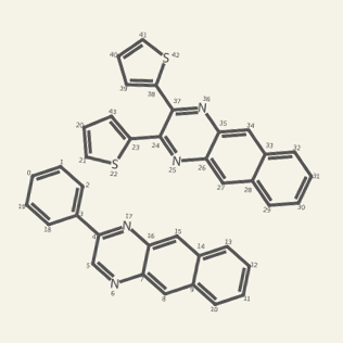 c1ccc(-c2cnc3cc4ccccc4cc3n2)cc1.c1csc(-c2nc3cc4ccccc4cc3nc2-c2cccs2)c1